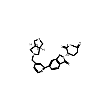 O=C1CC[C@H](N2Cc3cc(-c4cc(CN5C[C@H]6COC[C@H]6C5)ccn4)ccc3C2=O)C(=O)N1